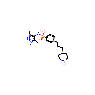 Cc1nn(C)c(C)c1NS(=O)(=O)c1ccc(CCCC2CCNCC2)cc1